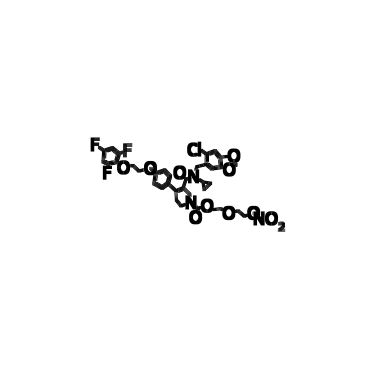 O=C(OCCOCCO[N+](=O)[O-])N1CCC(c2ccc(OCCOc3c(F)cc(F)cc3F)cc2)=C(C(=O)N(Cc2cc3c(cc2Cl)OCO3)C2CC2)C1